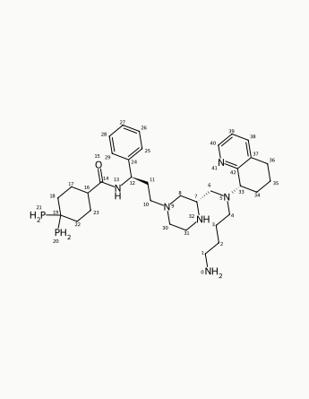 NCCCCN(C[C@H]1CN(CC[C@@H](NC(=O)C2CCC(P)(P)CC2)c2ccccc2)CCN1)[C@H]1CCCc2cccnc21